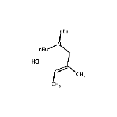 CC=C(C)CN(CCCC)CCCC.Cl